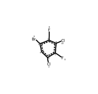 Fc1c(Cl)cc(Br)c(F)c1Cl